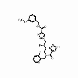 O=C(NCc1cccc(OC(F)(F)F)c1)c1cn(CC(F)CCN(Cc2ncccc2F)C(=O)c2c[nH]nn2)nn1